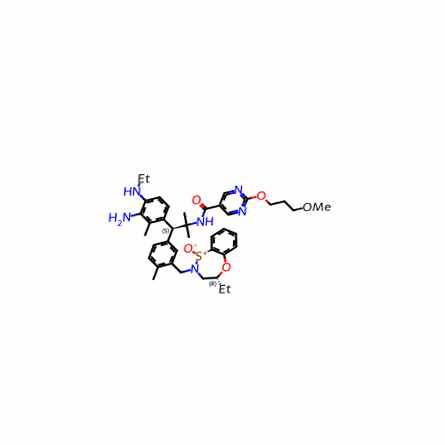 CCNc1ccc([C@H](c2ccc(C)c(CN3C[C@@H](CC)Oc4ccccc4[S+]3[O-])c2)C(C)(C)NC(=O)c2cnc(OCCCOC)nc2)c(C)c1N